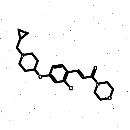 O=C(/C=C/c1ccc(OC2CCN(CC3CC3)CC2)cc1Cl)N1CCOCC1